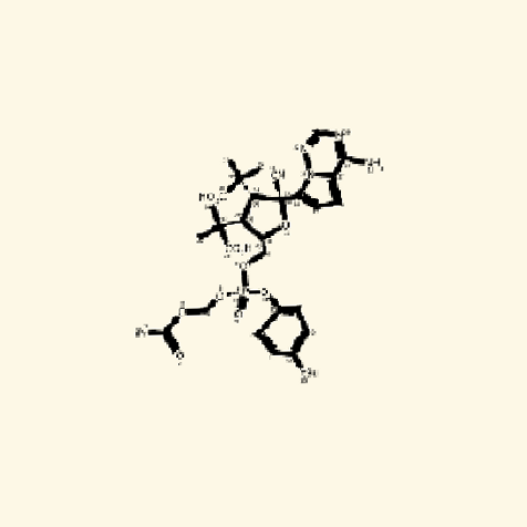 CC(C)C(=O)OCO[P@](=O)(OC[C@@H]1O[C@@](C#N)(c2ccc3c(N)ncnn23)[C@@H](C(C)(C)C(=O)O)[C@@H]1C(C)(C)C(=O)O)Oc1ccc(C(C)(C)C)cc1